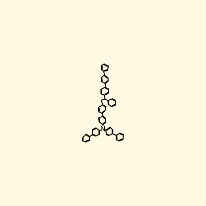 c1ccc(-c2ccc(-c3ccc(C(Cc4ccc(-c5ccc(N(c6ccc(-c7ccccc7)cc6)c6ccc(-c7ccccc7)cc6)cc5)cc4)c4ccccc4)cc3)cc2)cc1